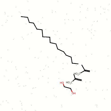 C=C(C)C(=O)O.C=C(C)C(=O)O.CCCCCCCCCCCCCCCC.OCCO